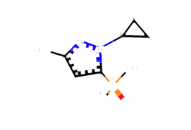 Cc1cc(P(C)(C)=O)n(C2CC2)n1